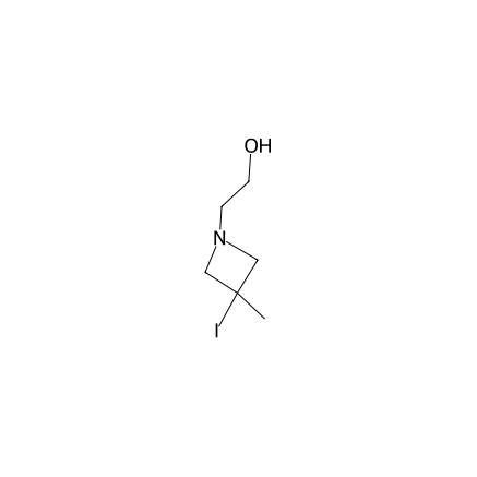 CC1(I)CN(CCO)C1